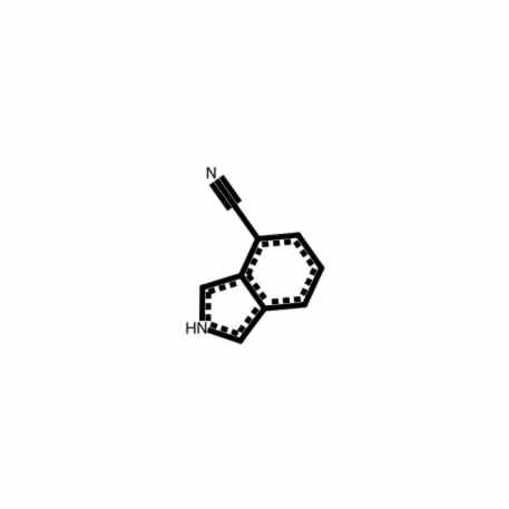 N#Cc1cccc2c[nH]cc12